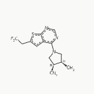 C[C@@H]1CN(c2ncnc3sc(CC(F)(F)F)cc23)C[C@@H]1C